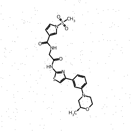 C[C@H]1CN(c2cccc(-c3csc(NC(=O)CNC(=O)c4ccn(S(C)(=O)=O)c4)n3)c2)CCO1